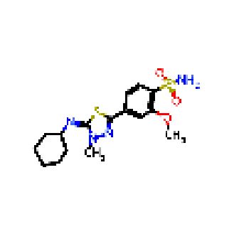 COc1cc(-c2nn(C)/c(=N\C3CCCCC3)s2)ccc1S(N)(=O)=O